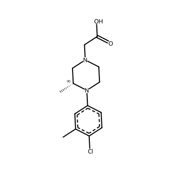 Cc1cc(N2CCN(CC(=O)O)C[C@H]2C)ccc1Cl